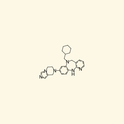 c1cnc2c(c1)CN(CC1CCCCC1)c1cc(N3CCn4cncc4C3)ccc1N2